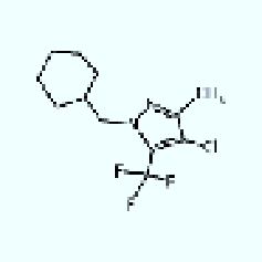 Cc1nn(CC2CCCCC2)c(C(F)(F)F)c1Cl